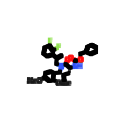 C=CC[C@@H](NC(=O)OCc1ccccc1)C(=O)N(CC(=C)c1cccc(F)c1F)Cc1ccc(OC)cc1OC